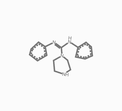 c1ccc(N=C(Nc2ccccc2)N2CCNCC2)cc1